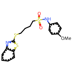 COc1ccc(NS(=O)(=O)CCCCSc2nc3ccccc3s2)cc1